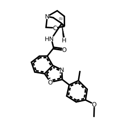 COc1ccc(-c2nc3c(C(=O)N[C@@H]4CN5CCC4CC5)cccc3o2)c(C)c1